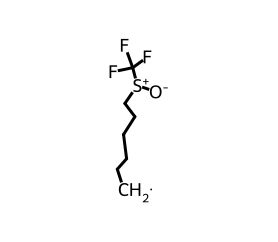 [CH2]CCCCC[S+]([O-])C(F)(F)F